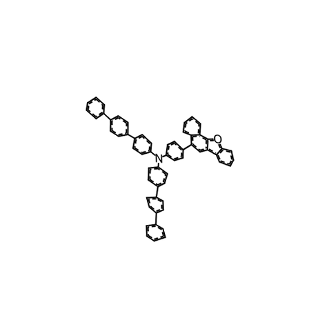 c1ccc(-c2ccc(-c3ccc(N(c4ccc(-c5ccc(-c6ccccc6)cc5)cc4)c4ccc(-c5cc6c7ccccc7oc6c6ccccc56)cc4)cc3)cc2)cc1